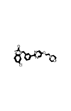 O=c1sc2ccc(Cl)cc2n1Cc1cccc(-c2ncc(OCCN3CCOCC3)cn2)c1